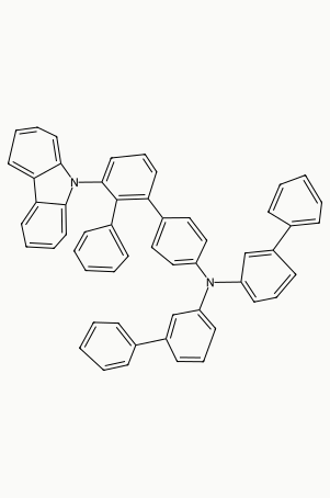 c1ccc(-c2cccc(N(c3ccc(-c4cccc(-n5c6ccccc6c6ccccc65)c4-c4ccccc4)cc3)c3cccc(-c4ccccc4)c3)c2)cc1